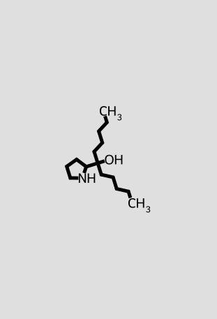 CCCCCC(O)(CCCCC)C1CCCN1